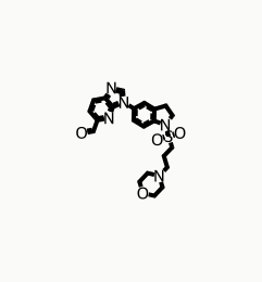 O=Cc1ccc2ncn(-c3ccc4c(c3)CCN4S(=O)(=O)CCCN3CCOCC3)c2n1